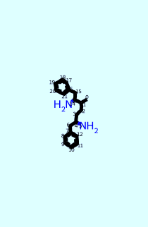 CC(CCC(N)Cc1ccccc1)C(N)Cc1ccccc1